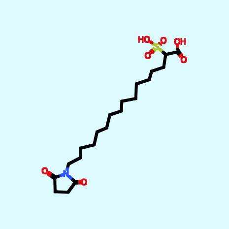 O=C(O)C(CCCCCCCCCCCCCCN1C(=O)CCC1=O)S(=O)(=O)O